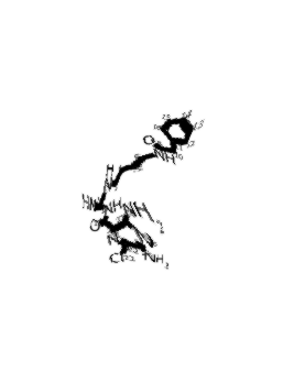 N=C(NCCCCNC(=O)Cc1ccccc1)NC(=O)c1nc(Cl)c(N)nc1N